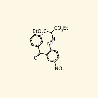 CCOC(=O)C(/N=N/c1ccc([N+](=O)[O-])cc1C(=O)c1ccccc1)C(=O)OCC